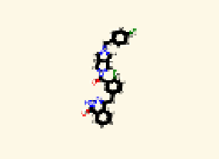 O=C(c1cc(Cc2n[nH]c(=O)c3ccccc23)ccc1F)N1CC2CN(Cc3ccc(F)cc3)CC2C1